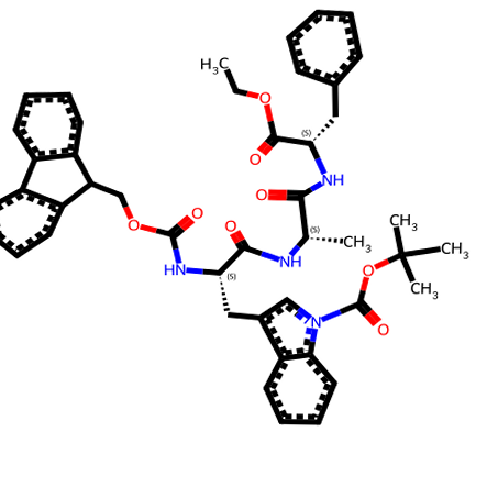 CCOC(=O)[C@H](Cc1ccccc1)NC(=O)[C@H](C)NC(=O)[C@H](Cc1cn(C(=O)OC(C)(C)C)c2ccccc12)NC(=O)OCC1c2ccccc2-c2ccccc21